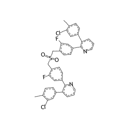 Cc1ccc(-c2cccnc2-c2ccc(CS(=O)(=O)Cc3ccc(-c4ncccc4-c4ccc(C)c(Cl)c4)cc3F)c(F)c2)cc1Cl